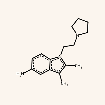 Cc1c(C)n(CCN2CCCC2)c2ccc(N)cc12